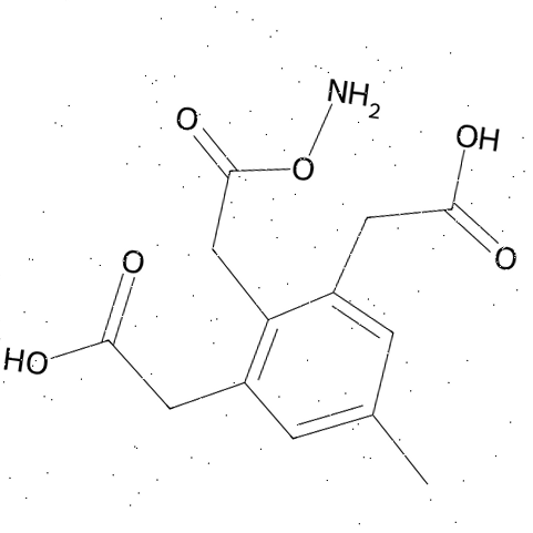 Cc1cc(CC(=O)O)c(CC(=O)ON)c(CC(=O)O)c1